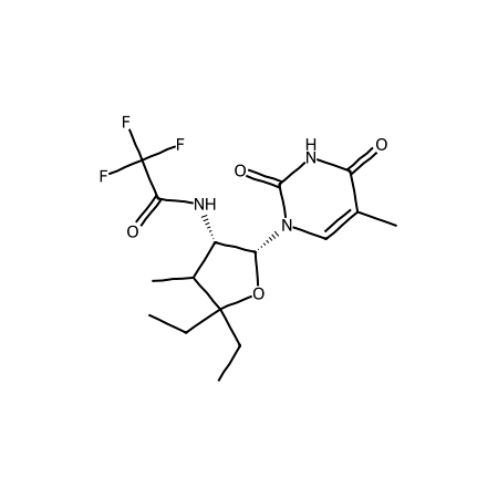 CCC1(CC)O[C@@H](n2cc(C)c(=O)[nH]c2=O)[C@@H](NC(=O)C(F)(F)F)C1C